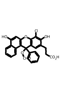 O=COC1(c2ccccc2)c2cc(CCC(=O)O)c(O)c(Cl)c2Oc2cc(O)c3ccccc3c21